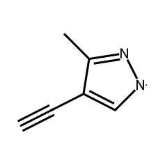 C#CC1=C[N]N=C1C